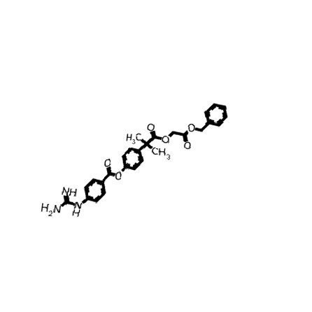 CC(C)(C(=O)OCC(=O)OCc1ccccc1)c1ccc(OC(=O)c2ccc(NC(=N)N)cc2)cc1